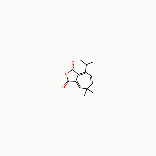 CC(C)C1=C2C(=O)OC(=O)C2=CC(C)(C)C=C1